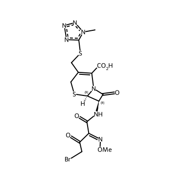 CON=C(C(=O)CBr)C(=O)N[C@@H]1C(=O)N2C(C(=O)O)=C(CSc3nnnn3C)CS[C@H]12